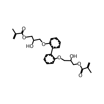 C=C(C)C(=O)OCC(O)COc1ccccc1-c1ccccc1OCC(O)COC(=O)C(=C)C